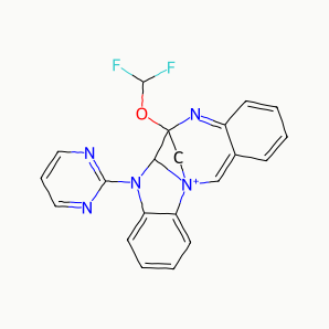 FC(F)OC12C[N+]3(C=c4ccccc4=N1)c1ccccc1N(c1ncccn1)C23